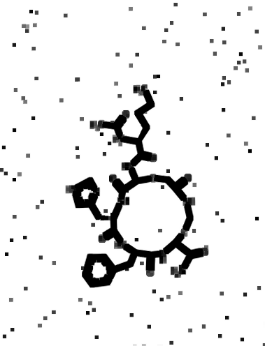 CCCC[C@H](NC(C)=O)C(=O)NC1CCC(=O)NCCC(C(N)=O)NC(=O)C(Cc2ccccc2)NC(=O)[C@H](Cc2c[nH]cn2)NC1=O